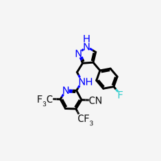 N#Cc1c(C(F)(F)F)cc(C(F)(F)F)nc1NCc1n[nH]cc1-c1ccc(F)cc1